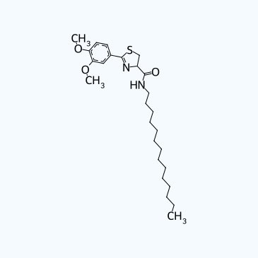 CCCCCCCCCCCCCCNC(=O)C1CSC(c2ccc(OC)c(OC)c2)=N1